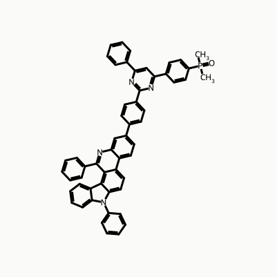 CP(C)(=O)c1ccc(-c2cc(-c3ccccc3)nc(-c3ccc(-c4ccc5c(c4)nc(-c4ccccc4)c4c5ccc5c4c4ccccc4n5-c4ccccc4)cc3)n2)cc1